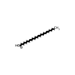 CCCCCC=CCC=CCC=CCC=CCC=CCCCCCCC(=O)O